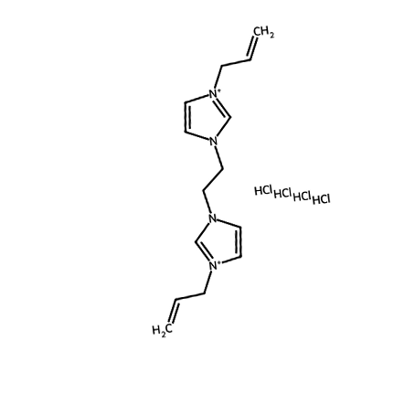 C=CC[n+]1ccn(CCn2cc[n+](CC=C)c2)c1.Cl.Cl.Cl.Cl